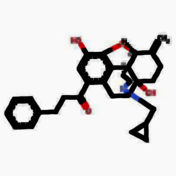 C=C1CCC2(O)C3Cc4c(C(=O)CCc5ccccc5)cc(O)c5c4[C@@]2(CCN3CC2CC2)[C@H]1O5